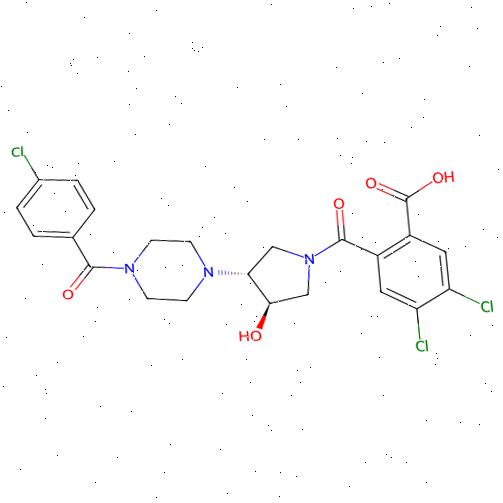 O=C(O)c1cc(Cl)c(Cl)cc1C(=O)N1C[C@@H](O)[C@H](N2CCN(C(=O)c3ccc(Cl)cc3)CC2)C1